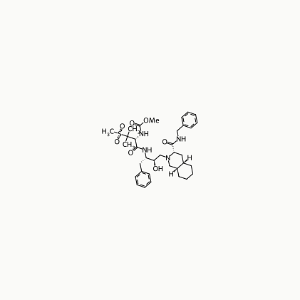 COC(=O)N[C@H](C(=O)N[C@@H](Cc1ccccc1)[C@H](O)CN1C[C@H]2CCCC[C@H]2C[C@H]1C(=O)NCc1ccccc1)C(C)(C)S(C)(=O)=O